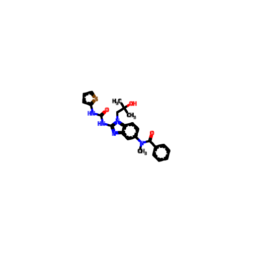 CN(C(=O)c1ccccc1)c1ccc2c(c1)nc(NC(=O)Nc1cccs1)n2CC(C)(C)O